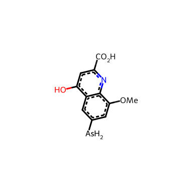 COc1cc([AsH2])cc2c(O)cc(C(=O)O)nc12